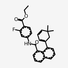 CCOC(=O)c1ccc(NC(=O)c2cccc3cccc(C4=CC=CC(C)(C)C4)c23)cc1F